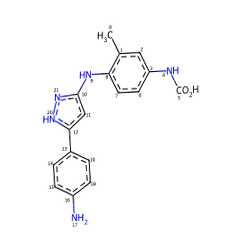 Cc1cc(NC(=O)O)ccc1Nc1cc(-c2ccc(N)cc2)[nH]n1